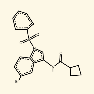 O=C(Nc1cn(S(=O)(=O)c2ccccc2)c2ccc(Br)cc12)C1CCC1